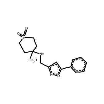 O=C(O)C1(NCc2cc(-c3ccccc3)on2)CCS(=O)(=O)CC1